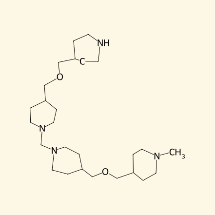 CN1CCC(COCC2CCN(CN3CCC(COCC4CCNCC4)CC3)CC2)CC1